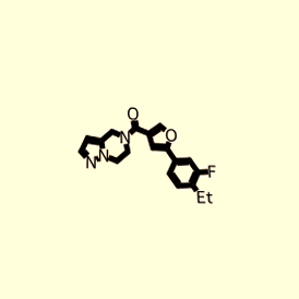 CCc1ccc(-c2cc(C(=O)N3CCn4nccc4C3)co2)cc1F